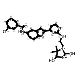 CC1(C)C(O)NC(O)N1CCNc1nccc(-c2cc3cc(NC(=O)c4cccc(Cl)c4)ccc3s2)n1